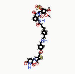 CCOc1cc([C@@H](CS(C)(=O)=O)N2C(=O)c3cccc(NC(=O)CCCc4ccc(CCNCc5ccc(OCc6scc7c6CN(C6CCC(=O)NC6=O)C7=O)cc5)cc4)c3C2=O)ccc1OC